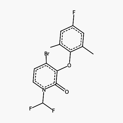 Cc1cc(F)cc(C)c1Oc1c(Br)ccn(C(F)F)c1=O